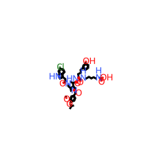 COc1cc(C(=O)N2CC3CN(C(=O)Cc4c[nH]c5cc(Cl)ccc45)CC(C(=O)NC(CCCc4cccc(O)c4)C(=O)NCCCCCNC(=O)O)C3C2)ccc1OC(C)C